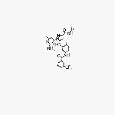 Cc1cc(-n2nc(C(=O)NC3CC3)cc2Nc2cc(NC(=O)c3cccc(C(F)(F)F)c3)ccc2C)nc(N)n1